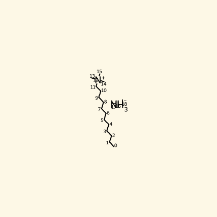 CCCCCCCCCCCC[N+](C)(C)C.I.N.[I-]